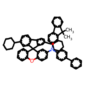 CC1(C)c2ccccc2-c2ccc(N(c3ccc(-c4ccccc4)cc3)c3ccc4c(c3)C3(c5ccccc5O4)c4cc(C5CCCCC5)ccc4-c4ccc(C5CCCCC5)cc43)cc21